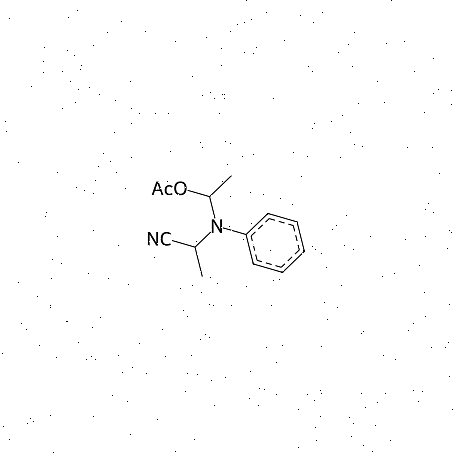 CC(=O)OC(C)N(c1ccccc1)C(C)C#N